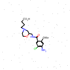 COc1cc(N)c(Cl)cc1C(=O)NCC1CN(CCCC(=O)O)CCO1